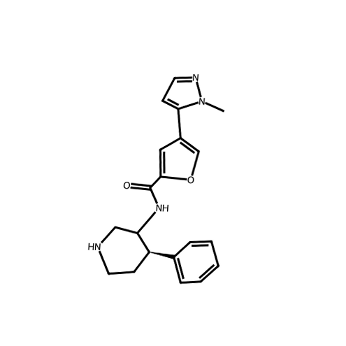 Cn1nccc1-c1coc(C(=O)NC2CNCC[C@@H]2c2ccccc2)c1